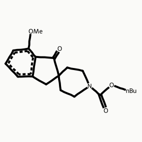 CCCCOC(=O)N1CCC2(CC1)Cc1cccc(OC)c1C2=O